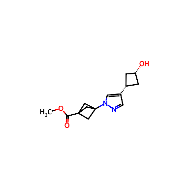 COC(=O)C12CC(n3cc([C@H]4C[C@@H](O)C4)cn3)(C1)C2